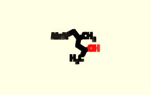 CNCC(C)CC(C)O